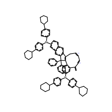 C=C1/C=C\C=C/CC2=C(c3ccc(N(c4ccc(C5CCCCC5)cc4)c4ccc(C5CCCCC5)cc4)cc31)C(c1ccccc1)(c1ccccc1)c1cc3cc(N(c4ccc(C5CCCCC5)cc4)c4ccc(C5CCCCC5)cc4)ccc3cc12